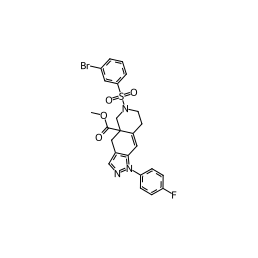 COC(=O)C12Cc3cnn(-c4ccc(F)cc4)c3C=C1CCN(S(=O)(=O)c1cccc(Br)c1)C2